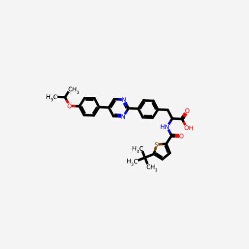 CC(C)Oc1ccc(-c2cnc(-c3ccc(CC(NC(=O)c4ccc(C(C)(C)C)s4)C(=O)O)cc3)nc2)cc1